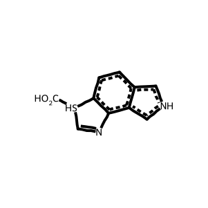 O=C(O)[SH]1C=Nc2c1ccc1c[nH]cc21